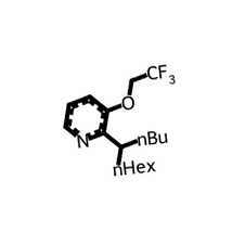 CCCCCCC(CCCC)c1ncccc1OCC(F)(F)F